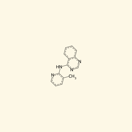 Cc1cccnc1Nc1ncnc2ccccc12